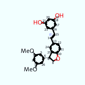 COc1cc(OC)cc([C@H]2COc3ccc(/C=C/c4cc(O)cc(O)c4)cc32)c1